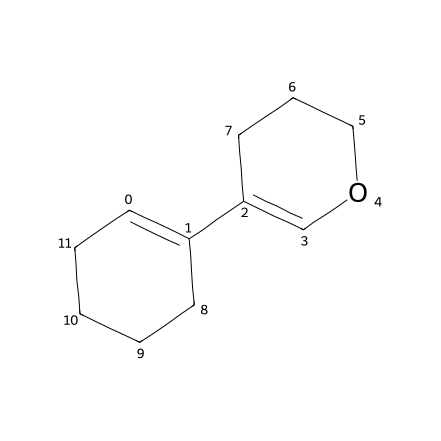 C1=C(C2=COCCC2)CCCC1